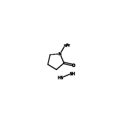 CCCN1CCCC1=O.SS